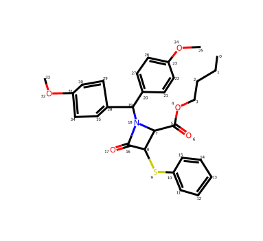 CCCCOC(=O)C1C(Sc2ccccc2)C(=O)N1C(c1ccc(OC)cc1)c1ccc(OC)cc1